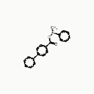 CN(OC(=O)c1ccc(-c2ccccc2)cc1)c1ccccc1